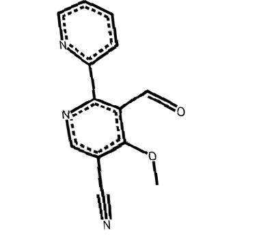 COc1c(C#N)cnc(-c2ccccn2)c1C=O